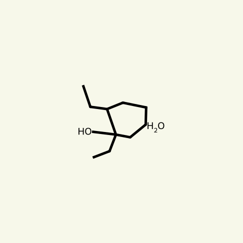 CCC1CCCCC1(O)CC.O